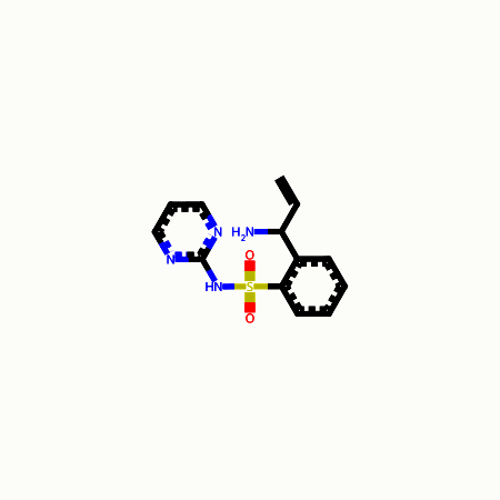 C=CC(N)c1ccccc1S(=O)(=O)Nc1ncccn1